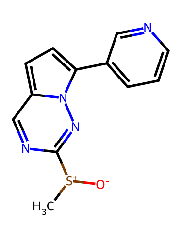 C[S+]([O-])c1ncc2ccc(-c3cccnc3)n2n1